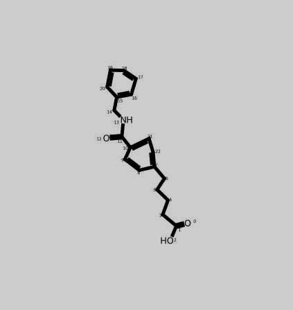 O=C(O)CCCCc1ccc(C(=O)NCc2ccccc2)cc1